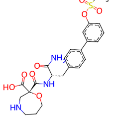 CS(=O)(=O)Oc1cccc(-c2ccc(C[C@H](NC(=O)[C@]3(C(=O)O)CNCCCO3)C(N)=O)cc2)c1